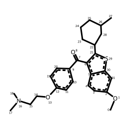 COc1ccc2c(C(=O)c3ccc(OCCN(C)C)cc3)c(C3CCCC(C)C3)sc2c1